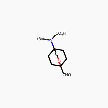 CC(C)(C)N(C(=O)O)C12CCC(C=O)(CC1)OC2